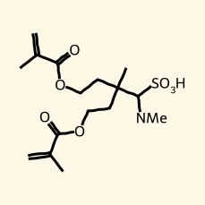 C=C(C)C(=O)OCCC(C)(CCOC(=O)C(=C)C)C(NC)S(=O)(=O)O